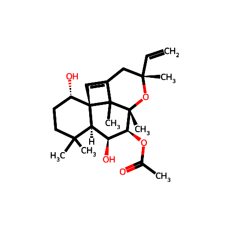 C=C[C@@]1(C)CC2=C[C@]34[C@@H](O)CCC(C)(C)[C@@H]3[C@H](O)[C@H](OC(C)=O)[C@@](C)(O1)C24C